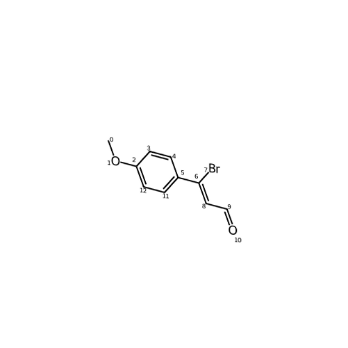 COc1ccc(C(Br)=CC=O)cc1